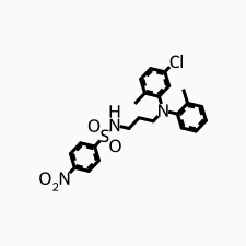 Cc1ccccc1N(CCCNS(=O)(=O)c1ccc([N+](=O)[O-])cc1)c1cc(Cl)ccc1C